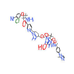 Cc1nccn1-c1ccc([C@H](C)NC(=O)C2C[C@@H](O)CN2C(=O)C(NC(=O)COCC2CCC(c3ccc(C(=O)N[C@H]4C(C)(C)[C@H](Oc5ccc(C#N)c(Cl)c5)C4(C)C)cn3)NC2)C(C)(C)C)cc1